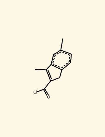 CC1=C(C(=O)Cl)Cc2ccc(C)cc21